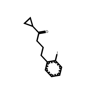 O=C(CCCc1ccccc1I)C1CC1